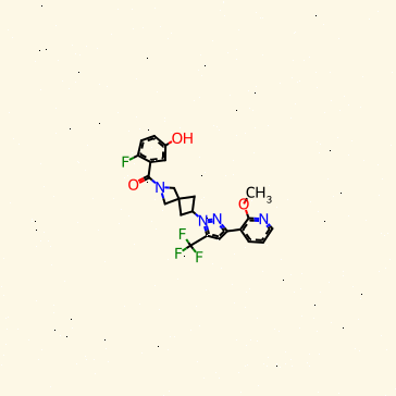 COc1ncccc1-c1cc(C(F)(F)F)n(C2CC3(C2)CN(C(=O)c2cc(O)ccc2F)C3)n1